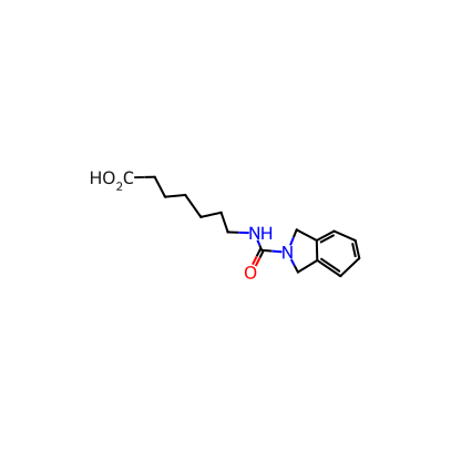 O=C(O)CCCCCCNC(=O)N1Cc2ccccc2C1